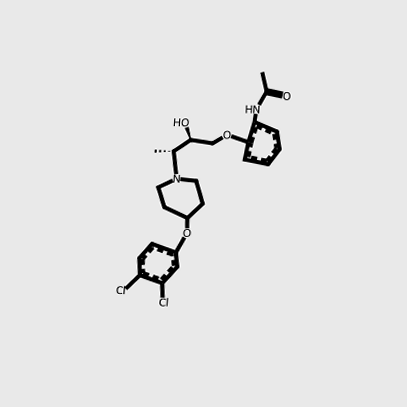 CC(=O)Nc1ccccc1OC[C@H](O)[C@@H](C)N1CCC(Oc2ccc(Cl)c(Cl)c2)CC1